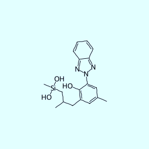 Cc1cc(CC(C)C[Si](C)(O)O)c(O)c(-n2nc3ccccc3n2)c1